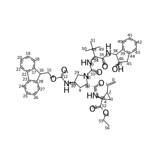 C=CC1C[C@]1(NC(=O)[C@@H]1C[C@@H](NC(=O)OCC2c3ccccc3-c3ccccc32)CN1C(=O)N[C@H](C(=O)NC1c2ccccc2C[C@H]1O)C(C)(C)C)C(=O)OCC